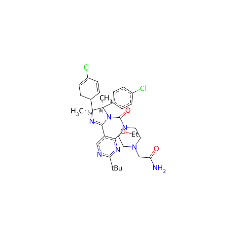 CCOc1nc(C(C)(C)C)ncc1C1=N[C@@](C)(C2C=CC(Cl)=CC2)[C@@](C)(c2ccc(Cl)cc2)N1C(=O)N1CCN(CC(N)=O)CC1